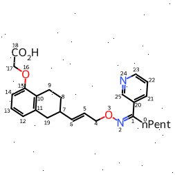 CCCCC/C(=N/OC/C=C/C1CCc2c(cccc2OCC(=O)O)C1)c1cccnc1